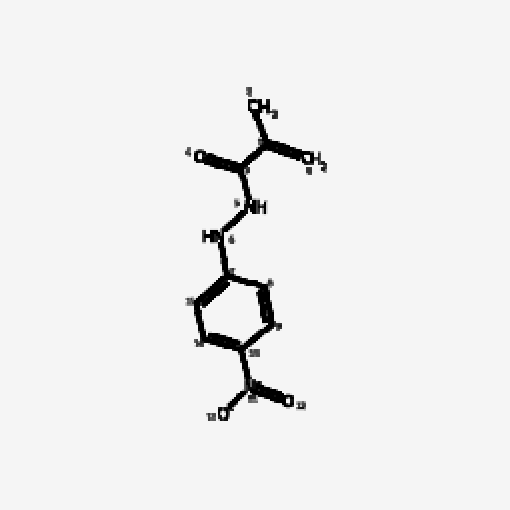 C=C(C)C(=O)NNc1ccc([N+](=O)[O-])cc1